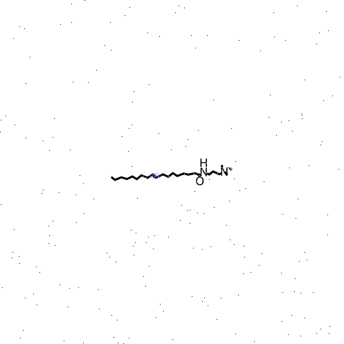 CCCCCCCC/C=C/CCCCCCCC(=O)NCCC[N+](C)(C)C